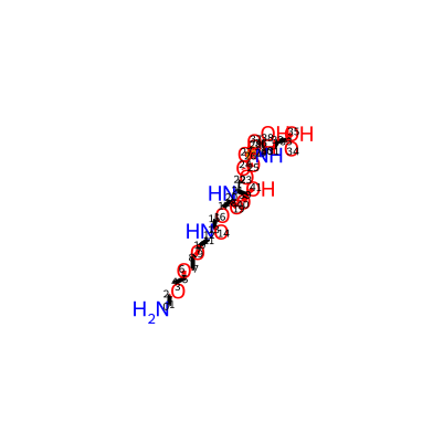 NCCOCCOCCOCCNC(=O)COCC(=O)N[C@@H](COOOP(=O)(O)N[C@@H](CCC(=O)O)C(=O)O)C(=O)O